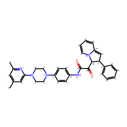 Cc1cc(C)nc(N2CCN(c3ccc(NC(=O)C(=O)C4C(c5ccccc5)C=C5C=CC=CN54)cc3)CC2)c1